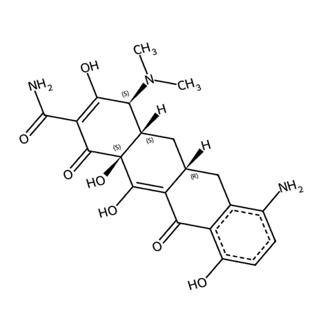 CN(C)[C@@H]1C(O)=C(C(N)=O)C(=O)[C@@]2(O)C(O)=C3C(=O)c4c(O)ccc(N)c4C[C@H]3C[C@@H]12